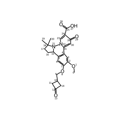 COc1cc2c(cc1OCC1CC(=O)C1)C1CCC(C)(C)N1n1cc(C(=O)O)c(=O)cc1-2